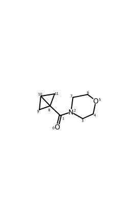 O=C(N1CCOCC1)C12CC1C2